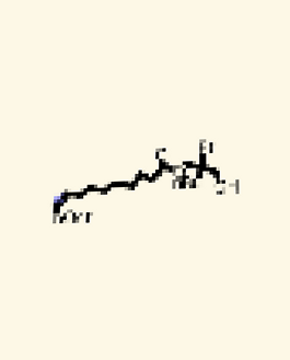 CCCCCCCC/C=C\CCCCCCCC(=O)OCC(CC)(CO)CCCC